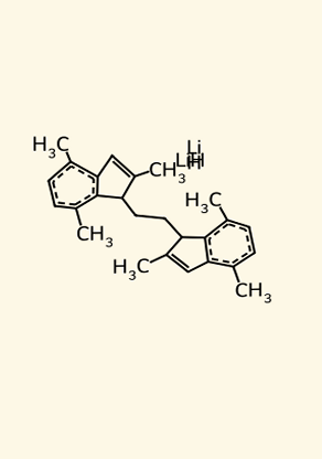 CC1=Cc2c(C)ccc(C)c2C1CCC1C(C)=Cc2c(C)ccc(C)c21.[LiH].[LiH]